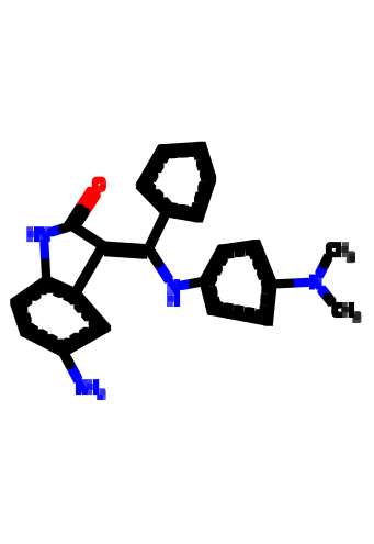 CN(C)c1ccc(NC(=C2C(=O)Nc3ccc(N)cc32)c2ccccc2)cc1